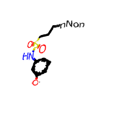 CCCCCCCCCCCCS(=O)(=O)Nc1cccc([O])c1